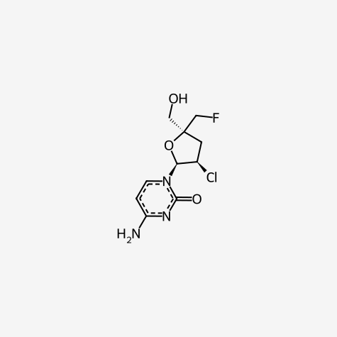 Nc1ccn([C@H]2O[C@@](CO)(CF)C[C@H]2Cl)c(=O)n1